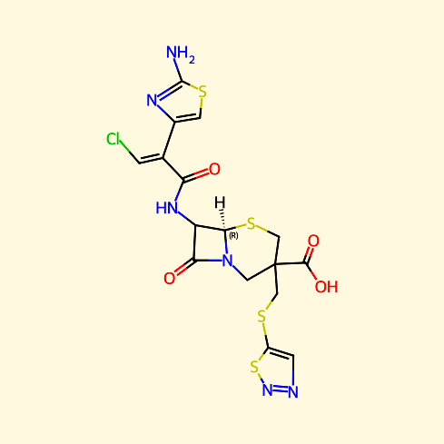 Nc1nc(C(=CCl)C(=O)NC2C(=O)N3CC(CSc4cnns4)(C(=O)O)CS[C@H]23)cs1